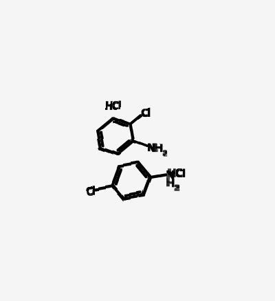 Cl.Cl.Nc1ccc(Cl)cc1.Nc1ccccc1Cl